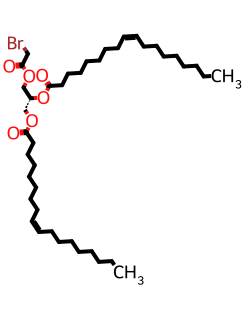 CCCCCCCC/C=C\CCCCCCCC(=O)OC[C@H](COC(=O)CBr)OC(=O)CCCCCCC/C=C\CCCCCCCC